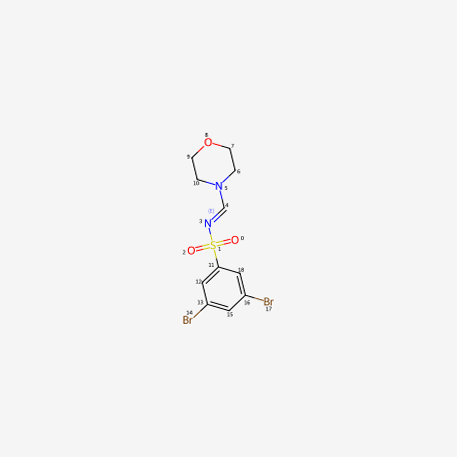 O=S(=O)(/N=C/N1CCOCC1)c1cc(Br)cc(Br)c1